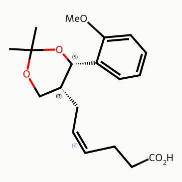 COc1ccccc1[C@H]1OC(C)(C)OC[C@H]1C/C=C\CCC(=O)O